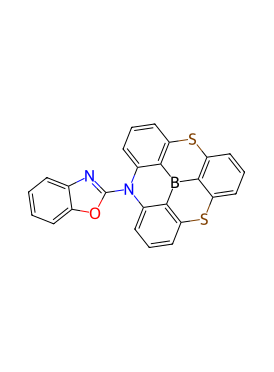 c1cc2c3c(c1)Sc1cccc4c1B3c1c(cccc1N4c1nc3ccccc3o1)S2